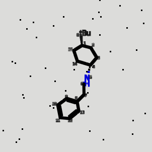 CC(C)(C)[C@H]1CC[C@H](NCCc2ccccc2)CC1